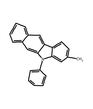 Cc1ccc2c3cc4ccccc4cc3n(-c3ccccc3)c2c1